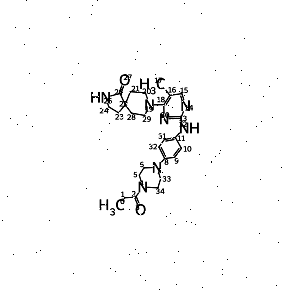 CCC(=O)N1CCN(c2ccc(Nc3ncc(C)c(N4CCC5(CCNC5=O)CC4)n3)cc2)CC1